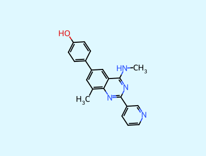 CNc1nc(-c2cccnc2)nc2c(C)cc(-c3ccc(O)cc3)cc12